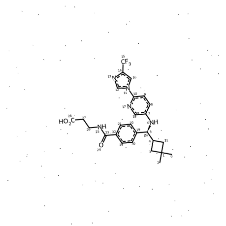 CC1(C)CC([C@H](Nc2ccc(-n3cnc(C(F)(F)F)c3)nc2)c2ccc(C(=O)NCCC(=O)O)cc2)C1